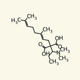 CCC(N(C)C)C(C/C=C(\C)CCC=C(C)C)(C(=O)O)C(=O)O